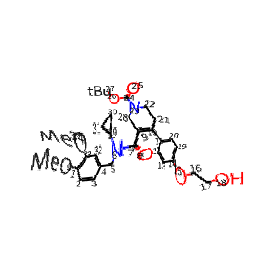 COc1ccc(CN(C(=O)C2=C(c3ccc(OCCO)cc3)CCN(C(=O)OC(C)(C)C)C2)C2CC2)cc1OC